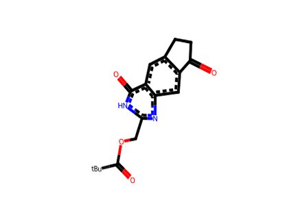 CC(C)(C)C(=O)OCc1nc2cc3c(cc2c(=O)[nH]1)CCC3=O